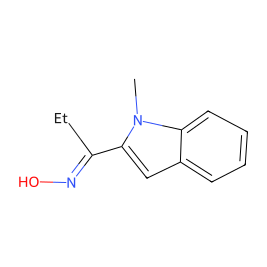 CCC(=NO)c1cc2ccccc2n1C